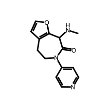 CNC1C(=O)N(c2ccncc2)CCc2ccoc21